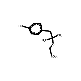 CCCCCCCCCOC(C)(C)Cc1ccc(O)cc1